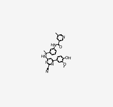 COc1cc(-c2cc(N[C@@H](C)c3cccc(NC(=O)c4cncc(C)c4)c3)nc(C#N)n2)ccc1O